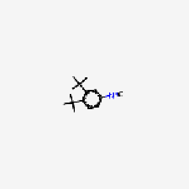 [C-]#[N+]c1ccc(C(C)(C)C)c(C(C)(C)C)c1